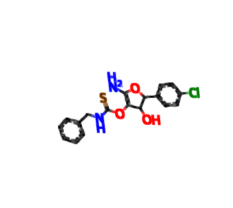 NC1=C(OC(=S)NCc2ccccc2)C(O)C(c2ccc(Cl)cc2)O1